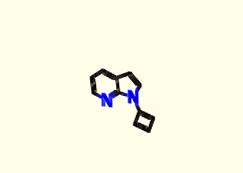 C1=CC(n2ccc3cccnc32)=C1